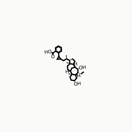 CC[C@H]1[C@@H](O)[C@@H]2C[C@H](CC[C@@]3(C)C2CC[C@@H]3[C@H](C)CC2CC2c2ccccc2C(=O)O)[C@@]2(C)CC[C@@H](O)C[C@@H]12